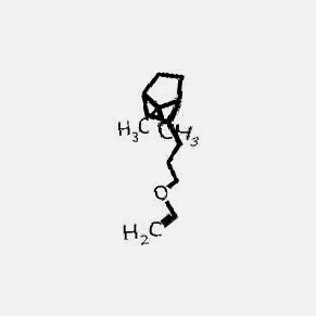 C=COCCCC1CC2CCC1C2(C)C